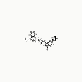 CC(CN1CCC(CC(F)Cc2c[nH]c3ccc(-n4cnnc4)cc23)CC1)c1ccccc1